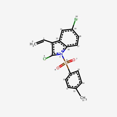 C=Cc1c(Cl)n(S(=O)(=O)c2ccc(C)cc2)c2ccc(Br)cc12